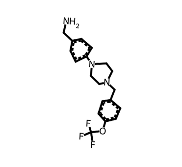 NCc1ccc(N2CCN(Cc3ccc(OC(F)(F)F)cc3)CC2)cc1